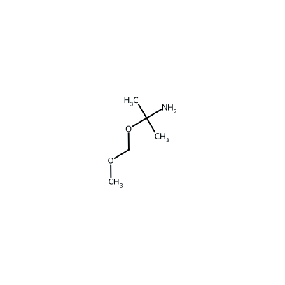 COCOC(C)(C)N